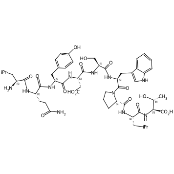 CC(C)C[C@H](NC(=O)[C@@H]1CCCN1C(=O)[C@H](Cc1c[nH]c2ccccc12)NC(=O)[C@H](CO)NC(=O)[C@H](CC(=O)O)NC(=O)[C@H](Cc1ccc(O)cc1)NC(=O)[C@H](CCC(N)=O)NC(=O)[C@@H](N)CC(C)C)C(=O)N[C@H](C(=O)O)[C@@H](C)O